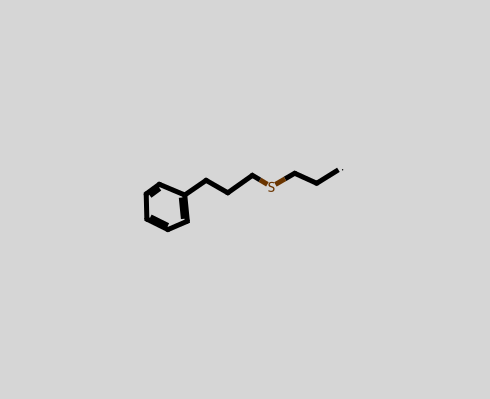 [CH2]CCSCCCc1ccccc1